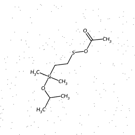 CC(=O)OSCC[Si](C)(C)OC(C)C